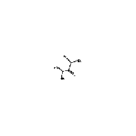 CCCCC(CC)C(=O)C(CCCC)CCCC